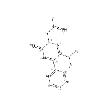 CC(=P)Cn1nc(C(C)C)c(-c2ccccc2)nc1=O